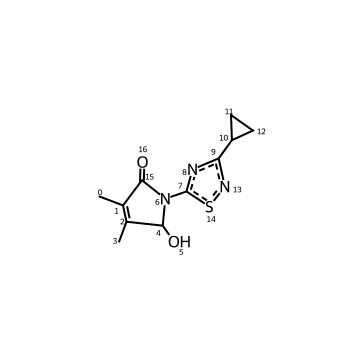 CC1=C(C)C(O)N(c2nc(C3CC3)ns2)C1=O